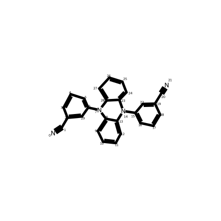 N#Cc1cccc(N2c3ccccc3N(c3cccc(C#N)c3)c3ccccc32)c1